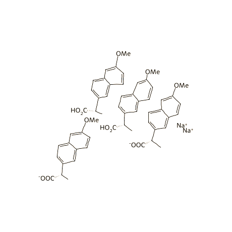 COc1ccc2cc([C@H](C)C(=O)O)ccc2c1.COc1ccc2cc([C@H](C)C(=O)O)ccc2c1.COc1ccc2cc([C@H](C)C(=O)[O-])ccc2c1.COc1ccc2cc([C@H](C)C(=O)[O-])ccc2c1.[Na+].[Na+]